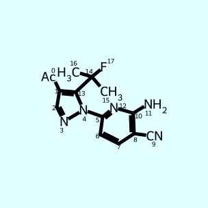 CC(=O)c1cnn(-c2ccc(C#N)c(N)n2)c1C(C)(C)F